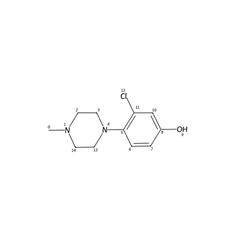 CN1CCN(c2ccc(O)cc2Cl)CC1